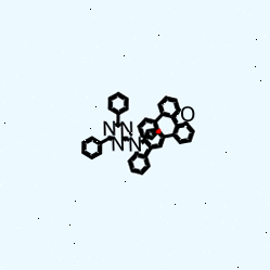 c1ccc(-c2nc(-c3ccccc3)nc(-n3c4ccccc4c4cc(-c5cccc6oc7cccc(-c8ccccc8)c7c56)ccc43)n2)cc1